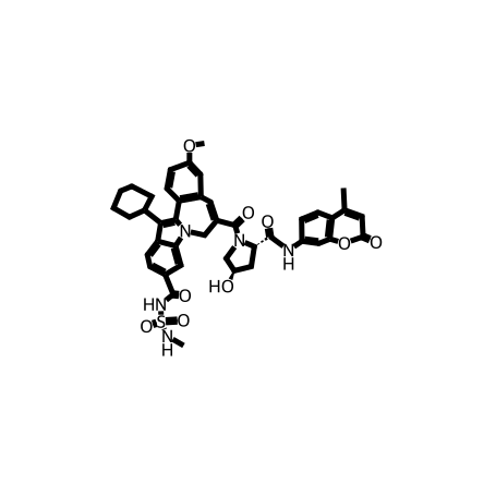 CNS(=O)(=O)NC(=O)c1ccc2c(C3CCCCC3)c3n(c2c1)CC(C(=O)N1C[C@H](O)C[C@H]1C(=O)Nc1ccc2c(C)cc(=O)oc2c1)=Cc1cc(OC)ccc1-3